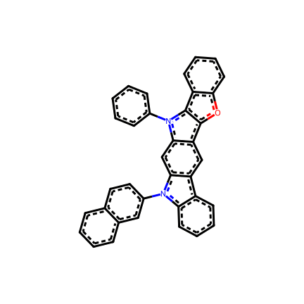 c1ccc(-n2c3cc4c(cc3c3oc5ccccc5c32)c2ccccc2n4-c2ccc3ccccc3c2)cc1